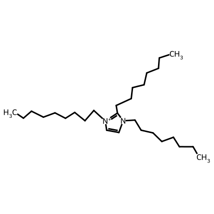 CCCCCCCCC[n+]1ccn(CCCCCCCC)c1CCCCCCCC